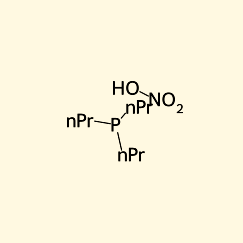 CCCP(CCC)CCC.O=[N+]([O-])O